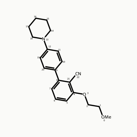 COCCOc1cccc(-c2ccc(N3CCCCC3)cc2)c1C#N